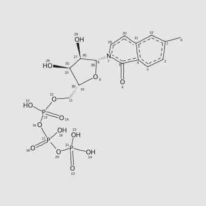 Cc1ccc2c(=O)n([C@@H]3O[C@H](COP(=O)(O)OP(=O)(O)OP(=O)(O)O)[C@@H](O)[C@H]3O)ccc2c1